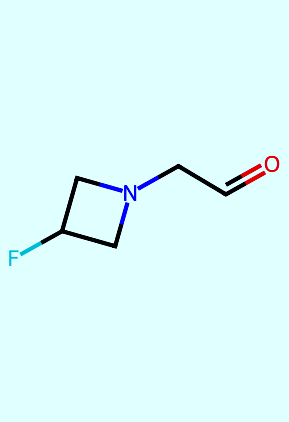 O=CCN1CC(F)C1